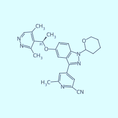 Cc1cc(-c2nn(C3CCCCO3)c3ccc(O[C@H](C)c4c(C)cnnc4C)cc23)cc(C#N)n1